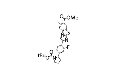 COC(=O)c1cc2sc3nc(-c4ccc([C@H]5CCCN5C(=O)OC(C)(C)C)cc4F)cn3c2cc1C